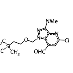 CNc1nn(COCC[Si](C)(C)C)c2c(C=O)cc(Cl)nc12